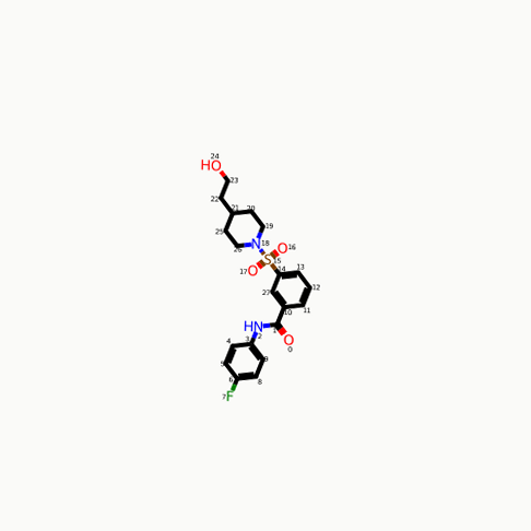 O=C(Nc1ccc(F)cc1)c1cccc(S(=O)(=O)N2CCC(CCO)CC2)c1